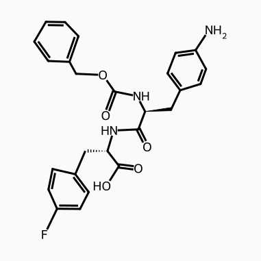 Nc1ccc(C[C@H](NC(=O)OCc2ccccc2)C(=O)N[C@@H](Cc2ccc(F)cc2)C(=O)O)cc1